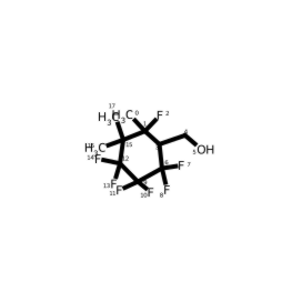 CC1(F)C(CO)C(F)(F)C(F)(F)C(F)(F)C1(C)C